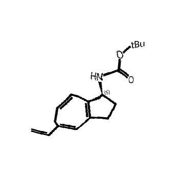 C=Cc1ccc2c(c1)CC[C@@H]2NC(=O)OC(C)(C)C